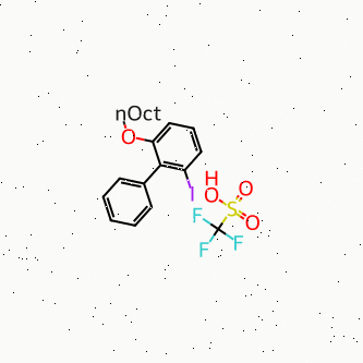 CCCCCCCCOc1cccc(I)c1-c1ccccc1.O=S(=O)(O)C(F)(F)F